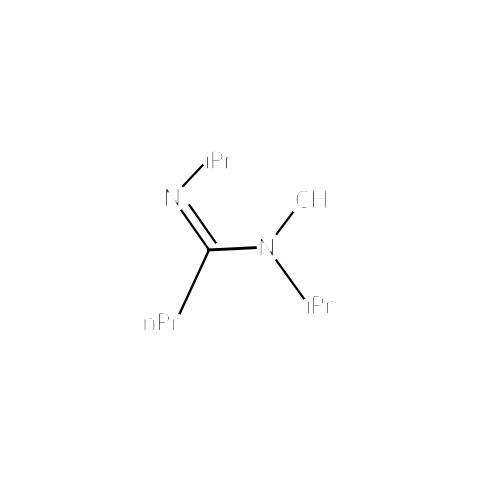 CCC/C(=N/C(C)C)N(C)C(C)C